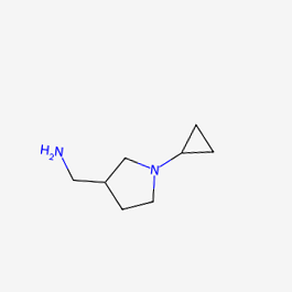 NCC1CCN(C2CC2)C1